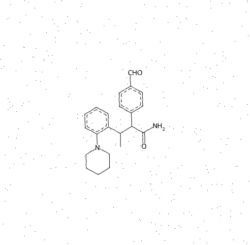 CC(c1ccccc1N1CCCCC1)C(C(N)=O)c1ccc(C=O)cc1